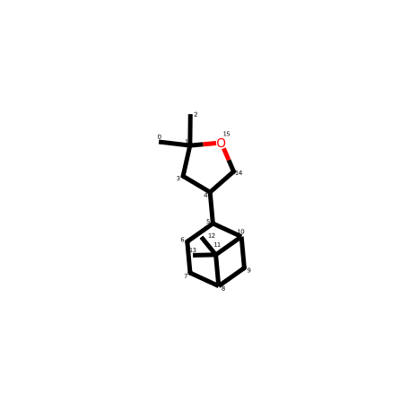 CC1(C)CC(C2CCC3CC2C3(C)C)CO1